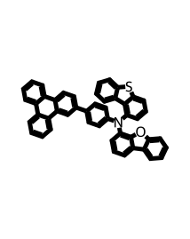 c1ccc2c(c1)oc1c(N(c3ccc(-c4ccc5c6ccccc6c6ccccc6c5c4)cc3)c3cccc4sc5ccccc5c34)cccc12